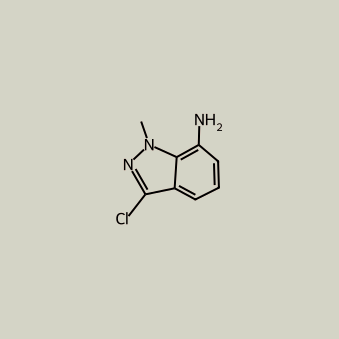 Cn1nc(Cl)c2cccc(N)c21